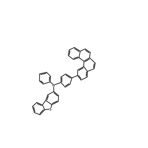 c1ccc(N(c2ccc(-c3ccc4ccc5ccc6ccccc6c5c4c3)cc2)c2ccc3sc4ccccc4c3c2)cc1